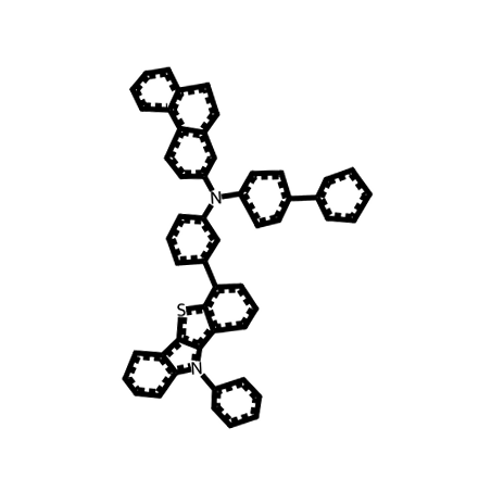 c1ccc(-c2ccc(N(c3cccc(-c4cccc5c4sc4c6ccccc6n(-c6ccccc6)c54)c3)c3ccc4c(ccc5ccccc54)c3)cc2)cc1